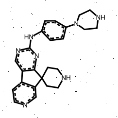 c1cc2c(cn1)C1(CCNCC1)c1nc(Nc3ccc(N4CCNCC4)cc3)ncc1-2